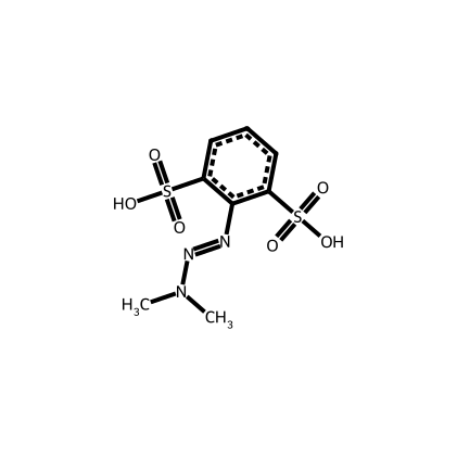 CN(C)N=Nc1c(S(=O)(=O)O)cccc1S(=O)(=O)O